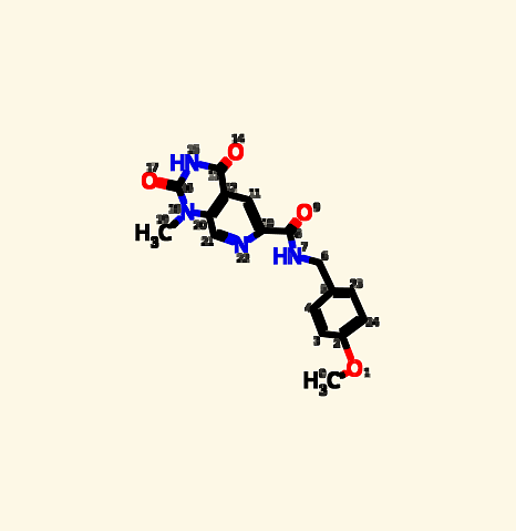 COc1ccc(CNC(=O)c2cc3c(=O)[nH]c(=O)n(C)c3cn2)cc1